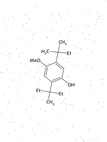 CCC(C)(C)c1cc(O)c(C(C)(CC)CC)cc1OC